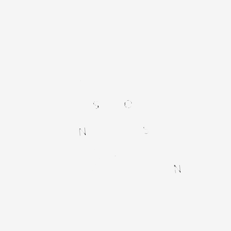 C/C(=N/[S+]([O-])C(C)(C)C)c1cncs1